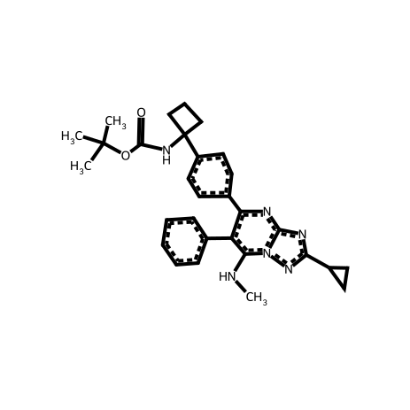 CNc1c(-c2ccccc2)c(-c2ccc(C3(NC(=O)OC(C)(C)C)CCC3)cc2)nc2nc(C3CC3)nn12